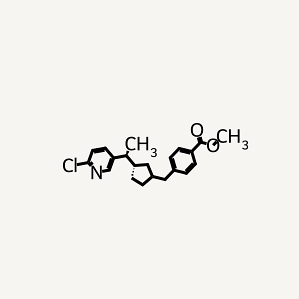 COC(=O)c1ccc(CC2CC[C@H]([C@H](C)c3ccc(Cl)nc3)C2)cc1